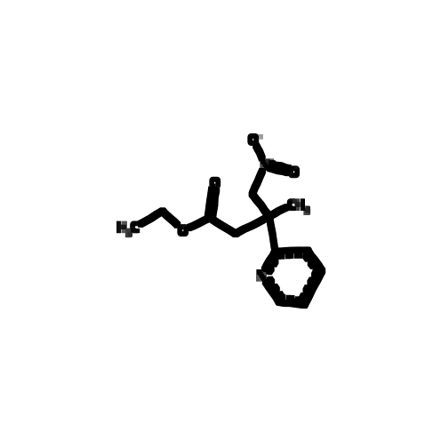 CCOC(=O)CC(C)(C[N+](=O)[O-])c1ccccn1